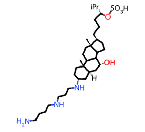 CC(C)[C@@H](CCC[C@H]1CCC2C3C(CC[C@@]21C)[C@@]1(C)CC[C@H](NCCCNCCCCN)C[C@@H]1C[C@H]3O)OS(=O)(=O)O